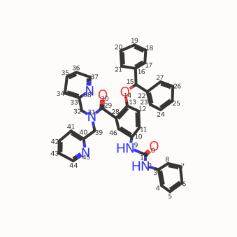 O=C(Nc1ccccc1)Nc1ccc(OC(c2ccccc2)c2ccccc2)c(C(=O)N(Cc2ccccn2)Cc2ccccn2)c1